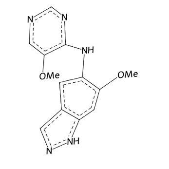 COc1cc2[nH]ncc2cc1Nc1ncncc1OC